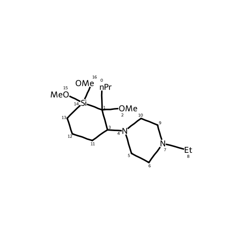 CCCC1(OC)C(N2CCN(CC)CC2)CCC[Si]1(OC)OC